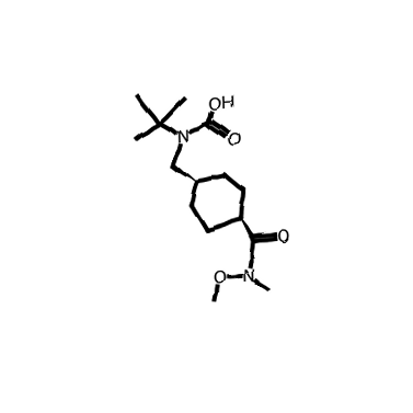 CON(C)C(=O)[C@H]1CC[C@@H](CN(C(=O)O)C(C)(C)C)CC1